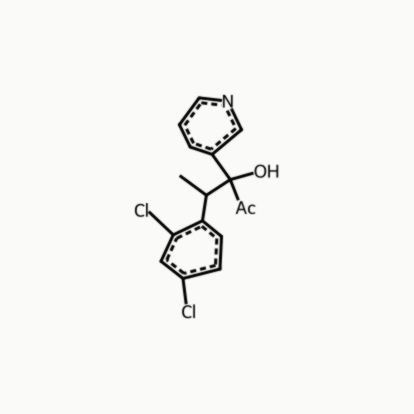 CC(=O)C(O)(c1cccnc1)C(C)c1ccc(Cl)cc1Cl